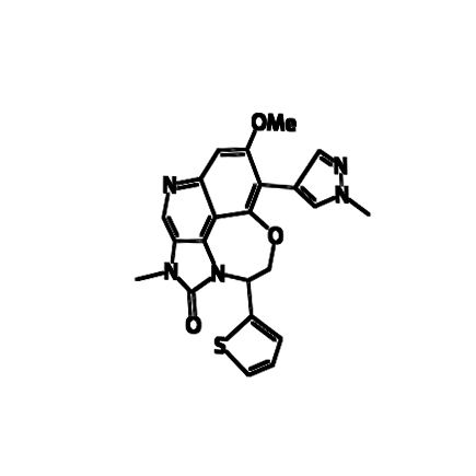 COc1cc2ncc3c4c2c(c1-c1cnn(C)c1)OCC(c1cccs1)n4c(=O)n3C